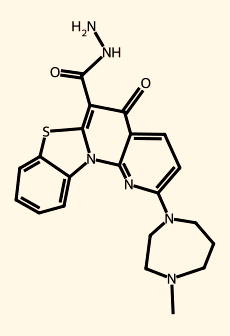 CN1CCCN(c2ccc3c(=O)c(C(=O)NN)c4sc5ccccc5n4c3n2)CC1